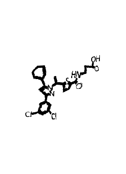 CC(c1ccc(C(=O)NCCC(=O)O)s1)n1nc(-c2cc(Cl)cc(Cl)c2)cc1C1=CCCC=C1